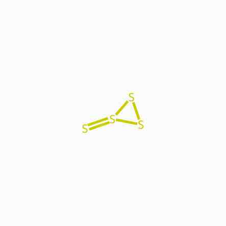 S=S1SS1